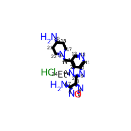 CCn1c(-c2nonc2N)nc2cncc(CN3CCC(N)CC3)c21.Cl